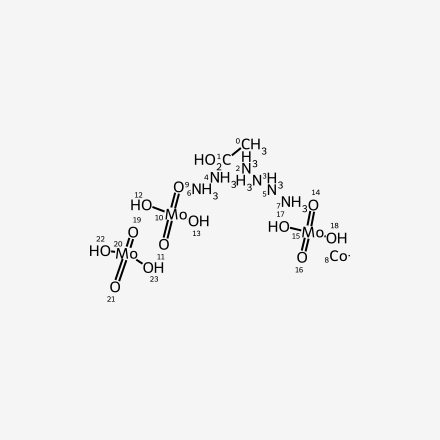 CC(=O)O.N.N.N.N.N.N.[Co].[O]=[Mo](=[O])([OH])[OH].[O]=[Mo](=[O])([OH])[OH].[O]=[Mo](=[O])([OH])[OH]